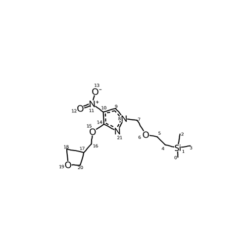 C[Si](C)(C)CCOCn1cc([N+](=O)[O-])c(OCC2COC2)n1